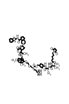 Cc1c(-c2ccc(N3CCc4cccc(C(=O)Nc5nc6ccccc6s5)c4C3)nc2C(=O)O)cnn1CC12CC3(C)CC(C)(C1)CC(OCCOCCN(CCCP(=O)(O)O)C(=O)OCc1ccc(NC(=O)[C@H](C)NC(=O)C(NC(=O)CCCCCN4C(=O)C=CC4=O)C(C)C)cc1)(C3)C2